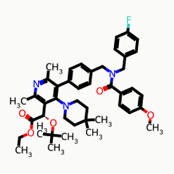 CCOC(=O)[C@@H](OC(C)(C)C)c1c(C)nc(C)c(-c2ccc(CN(Cc3ccc(F)cc3)C(=O)c3ccc(OC)cc3)cc2)c1N1CCC(C)(C)CC1